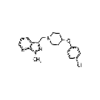 Cn1nc(CN2CCC(Oc3ccc(Cl)cc3)CC2)c2cccnc21